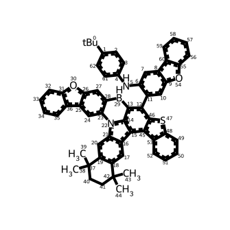 CC(C)(C)c1ccc(Nc2cc3c(cc2-c2c4c5c(c6cc7c(cc6n5-c5cc6c(cc5B4)oc4ccccc46)C(C)(C)CCC7(C)C)c4c2sc2ccccc24)oc2ccccc23)cc1